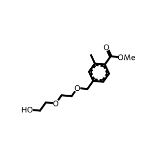 COC(=O)c1ccc(COCCOCCO)cc1C